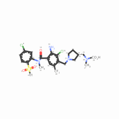 CCS(=O)(=O)c1ccc(Cl)cc1N(C)C(=O)c1cc(C(F)(F)F)c(CN2CC[C@H](CN(C)C(=O)O)C2)c(Cl)c1N